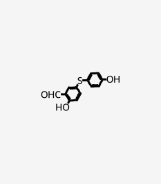 O=Cc1cc(Sc2ccc(O)cc2)ccc1O